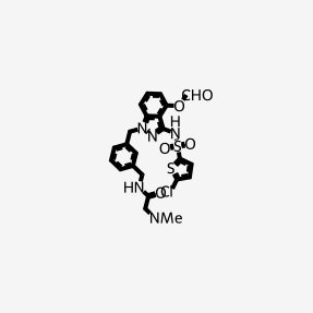 CNCC(=O)NCc1cccc(Cn2nc(NS(=O)(=O)c3ccc(Cl)s3)c3c(OC=O)cccc32)c1